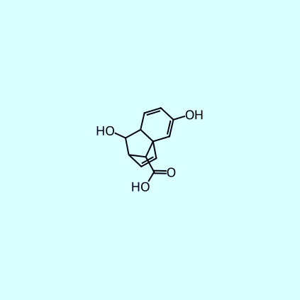 O=C(O)C1C2C=CC13C=C(O)C=CC3C2O